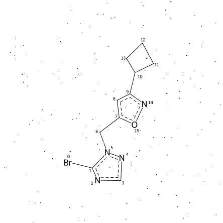 Brc1ncnn1Cc1cc(C2CCC2)no1